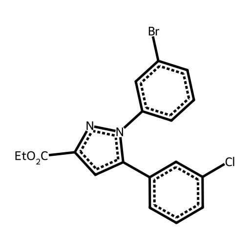 CCOC(=O)c1cc(-c2cccc(Cl)c2)n(-c2cccc(Br)c2)n1